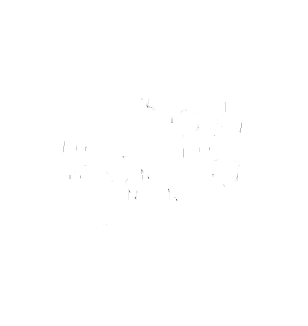 CC1(c2ccc(C#N)cc2F)Oc2c(C3CCN(Cc4nc5ccc(C(=O)O)cc5n4CC4CCO4)CC3)cccc2C1F